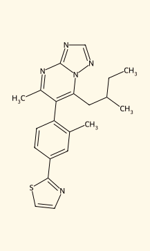 CCC(C)Cc1c(-c2ccc(-c3nccs3)cc2C)c(C)nc2ncnn12